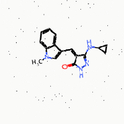 Cn1cc(/C=C2\C(=O)NN=C2NC2CC2)c2ccccc21